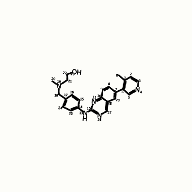 Cc1ccncc1-c1ccc2nc(Nc3ccc(CN(C)CCO)cc3)ncc2c1